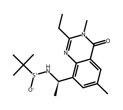 CCc1nc2c([C@@H](C)N[S+]([O-])C(C)(C)C)cc(C)cc2c(=O)n1C